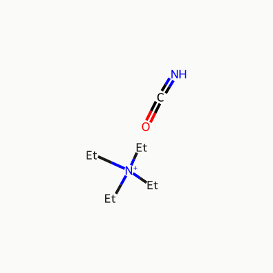 CC[N+](CC)(CC)CC.N=C=O